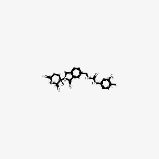 Cc1ccc(NC(=O)NCc2ccc3c(c2)C(=O)N([C@@]2(C)CCC(=O)NC2=O)C3)cc1Cl